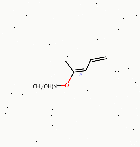 C=C/C=C(\C)ON(C)O